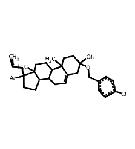 C=CCC1(C(C)=O)CCC2C3CC=C4CC(O)(OCc5ccc(Cl)cc5)CCC4(C)C3CCC21C